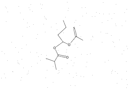 CCCC(OC(=O)C(C)C)OC(C)=S